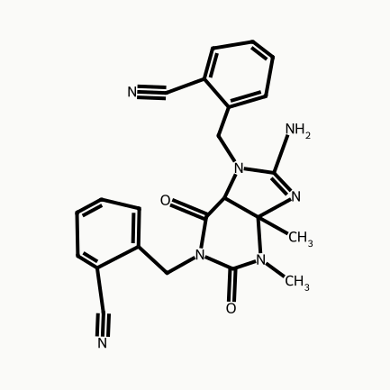 CN1C(=O)N(Cc2ccccc2C#N)C(=O)C2N(Cc3ccccc3C#N)C(N)=NC21C